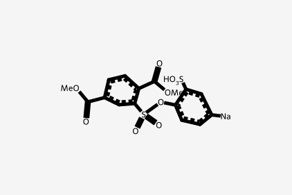 COC(=O)c1ccc(C(=O)OC)c(S(=O)(=O)Oc2cc[c]([Na])cc2S(=O)(=O)O)c1